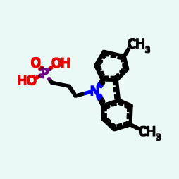 Cc1ccc2c(c1)c1cc(C)ccc1n2CCCP(=O)(O)O